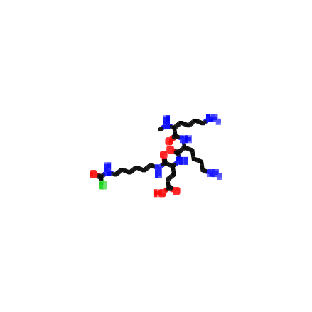 CNC(CCCCN)C(=O)NC(CCCCN)C(=O)NC(CCC(=O)O)C(=O)NCCCCCCNC(=O)Cl